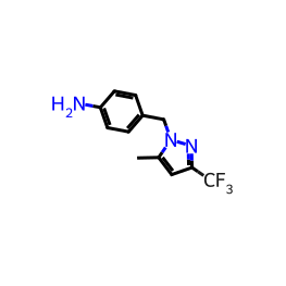 Cc1cc(C(F)(F)F)nn1Cc1ccc(N)cc1